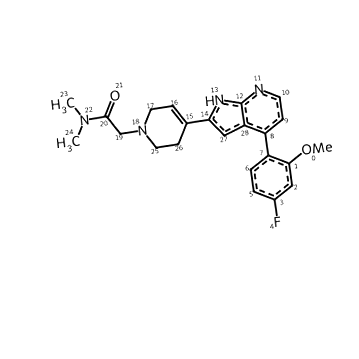 COc1cc(F)ccc1-c1ccnc2[nH]c(C3=CCN(CC(=O)N(C)C)CC3)cc12